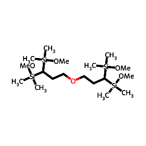 CO[Si](C)(C)C(CCOCCC([Si](C)(C)OC)[Si](C)(C)OC)[Si](C)(C)OC